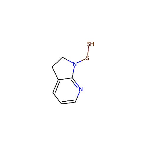 SSN1CCc2cccnc21